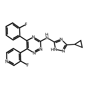 Fc1cnccc1-c1nnc(Nc2nc(C3CC3)n[nH]2)nc1-c1ccccc1F